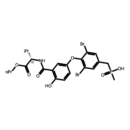 CCCOC(=O)[C@@H](NC(=O)c1cc(Oc2c(Br)cc(CP(C)(=O)O)cc2Br)ccc1O)C(C)C